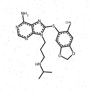 CC(C)NCCCn1c(Sc2cc3c(cc2[124I])OCO3)nc2c(N)ncnc21